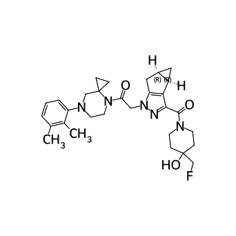 Cc1cccc(N2CCN(C(=O)Cn3nc(C(=O)N4CCC(O)(CF)CC4)c4c3C[C@H]3C[C@@H]43)C3(CC3)C2)c1C